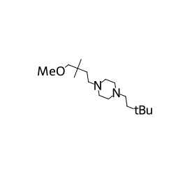 COCC(C)(C)CCN1CCN(CCC(C)(C)C)CC1